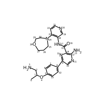 CC(CN)Oc1ccc(-c2cnc(N)c(C(=O)Nc3cnccc3N3CCCOCC3)n2)cc1